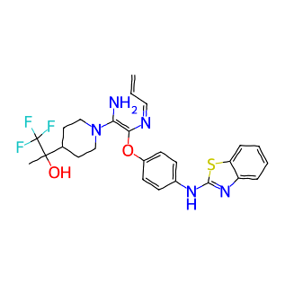 C=C/C=N\C(Oc1ccc(Nc2nc3ccccc3s2)cc1)=C(/N)N1CCC(C(C)(O)C(F)(F)F)CC1